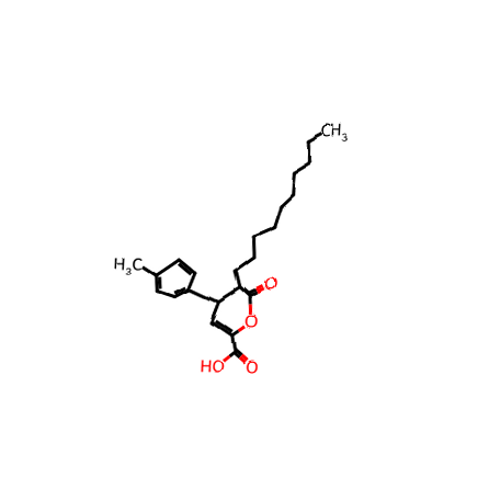 CCCCCCCCCCC1C(=O)OC(C(=O)O)=CC1c1ccc(C)cc1